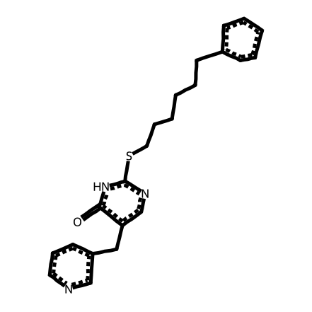 O=c1[nH]c(SCCCCCCc2ccccc2)ncc1Cc1cccnc1